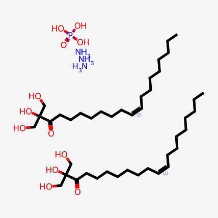 CCCCCCCC/C=C\CCCCCCCC(=O)C(O)(CO)CO.CCCCCCCC/C=C\CCCCCCCC(=O)C(O)(CO)CO.N.N.N.O=P(O)(O)O